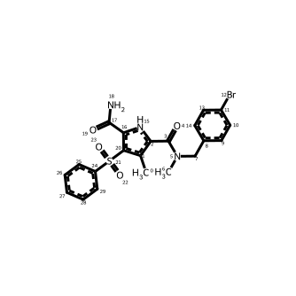 Cc1c(C(=O)N(C)Cc2ccc(Br)cc2)[nH]c(C(N)=O)c1S(=O)(=O)c1ccccc1